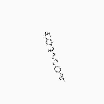 COc1ccc(SPSSPSc2ccc(OC)cc2)cc1